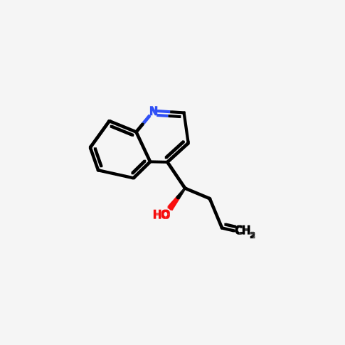 C=CC[C@@H](O)c1ccnc2ccccc12